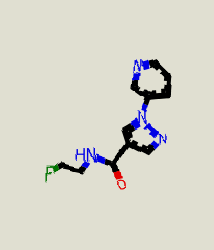 O=C(NCCF)c1cnn(-c2cccnc2)c1